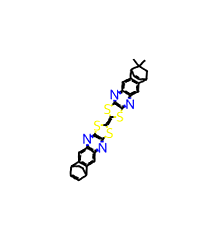 CC1(C)CC2C=CC1c1cc3nc4c(nc3cc12)SC(=C1Sc2nc3cc5c(cc3nc2S1)C1C=CC5CC1)S4